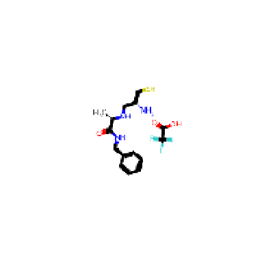 C[C@H](NC[C@@H](N)CS)C(=O)NCc1ccccc1.O=C(O)C(F)(F)F